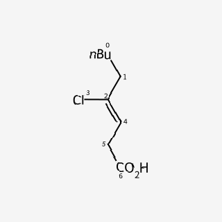 CCCCCC(Cl)=CCC(=O)O